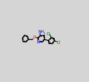 Nc1cc(-c2ccc(Cl)cc2Cl)cnc1OCc1ccccc1